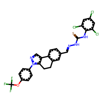 FC(F)(F)Oc1ccc(-n2ncc3c2CCc2cc(/C=N/NC(=S)Nc4c(Cl)cc(Cl)cc4Cl)ccc2-3)cc1